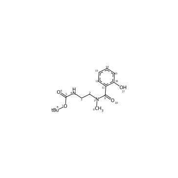 CN(CCNC(=O)OC(C)(C)C)C(=O)c1ccccc1O